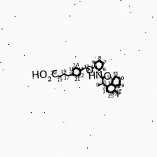 CC(C(=O)Nc1ccccc1OCc1ccc(CCCC(=O)O)cc1)c1ccc(F)c2ccccc12